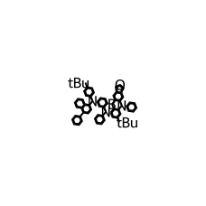 CC(C)(C)c1ccc(N(c2ccc3c(c2)N(c2ccccc2)c2cc(C(C)(C)C)cc4c2B3c2cc3cocc3cc2N4c2ccccc2)c2ccc(-c3ccccc3)c3ccccc23)cc1